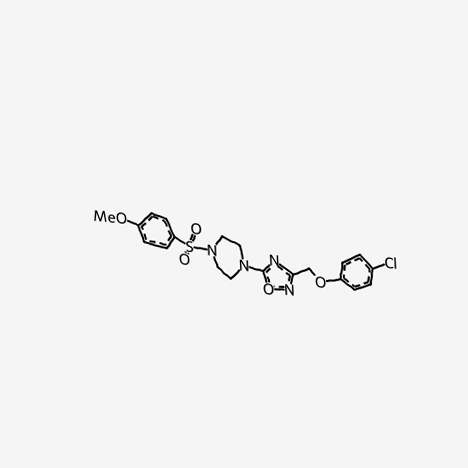 COc1ccc(S(=O)(=O)N2CCN(c3nc(COc4ccc(Cl)cc4)no3)CC2)cc1